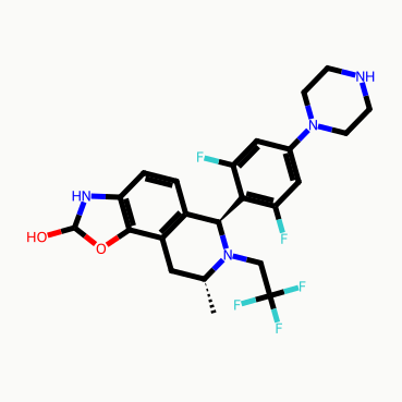 C[C@@H]1Cc2c(ccc3c2OC(O)N3)[C@@H](c2c(F)cc(N3CCNCC3)cc2F)N1CC(F)(F)F